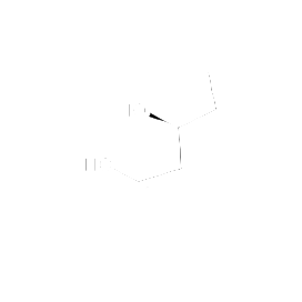 CC[C@H](O)C[C@H](C)O